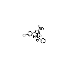 O=[N+]([O-])c1cc(-c2ccc(Cl)cc2)n(NS(=O)(=O)c2ccccc2)n1